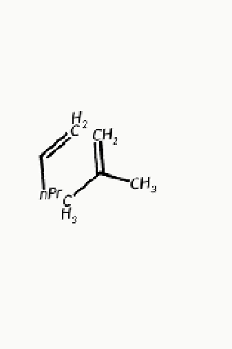 C=C(C)C.C=CCCC